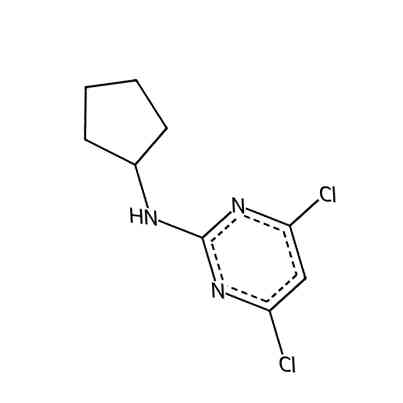 Clc1cc(Cl)nc(NC2CCCC2)n1